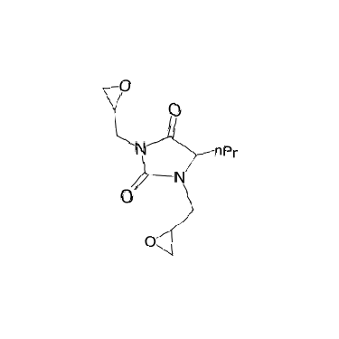 CCCC1C(=O)N(CC2CO2)C(=O)N1CC1CO1